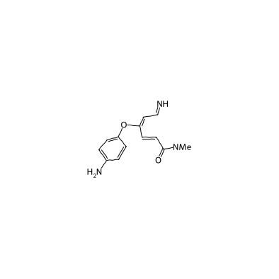 CNC(=O)/C=C/C(=C\C=N)Oc1ccc(N)cc1